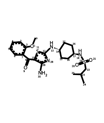 COc1ccccc1C(=O)c1sc(N[C@H]2CC[C@H](NS(=O)(=O)CC(C)C)CC2)nc1N